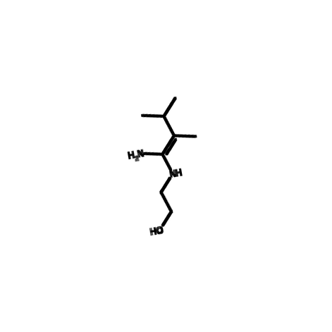 CC(=C(N)NCCO)C(C)C